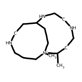 CC1CCNCCNC2CCNCCC[N+]1(C)CC2